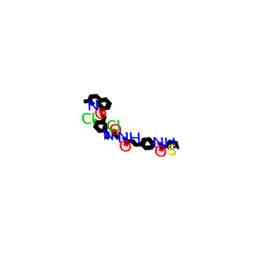 Cc1ccc2cccc(OCc3c(Cl)ccc(N(C)C(=O)CNC(=O)/C=C/c4ccc(NC(=O)c5cccs5)cc4)c3Cl)c2n1